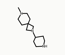 CN1CCC2(CC1)CN(C1CCNCC1)C2